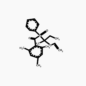 C=COC(C)(CC)P(=O)(C(=O)c1c(C)cc(C)cc1C)c1ccccc1